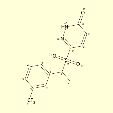 CC(c1cccc(C(F)(F)F)c1)S(=O)(=O)c1ccc(=O)[nH]n1